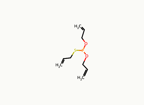 C=CCOP(OCC=C)SCC=C